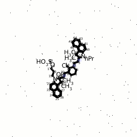 CCCN1/C(=C/C=C2\CCCC(/C=C/C3(O)N(CCCOS(=O)(=O)O)c4ccc5ccccc5c4C3(C)C)=C2Cl)C(C)(C)c2c1ccc1ccccc21